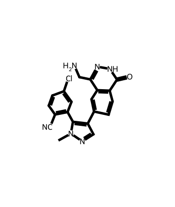 Cn1ncc(-c2ccc3c(=O)[nH]nc(CN)c3c2)c1-c1cc(Cl)ccc1C#N